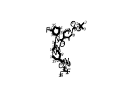 CC(C)(C)OC(=O)N1CCC(C(=O)N(Cc2cn3ccc(-c4nnc(C(F)F)o4)cc3n2)c2cccc(F)c2)CC1